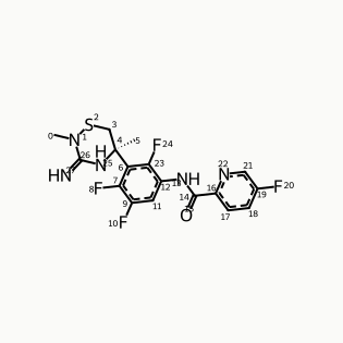 CN1SC[C@@](C)(c2c(F)c(F)cc(NC(=O)c3ccc(F)cn3)c2F)NC1=N